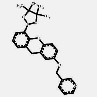 CC1(C)OB(c2cccc3c2Oc2ccc(OCc4cccnc4)cc2C3)OC1(C)C